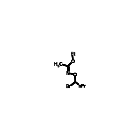 CCCC(Br)ON=C(C)OCC